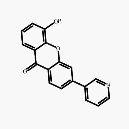 O=c1c2ccc(-c3cccnc3)cc2oc2c(O)cccc12